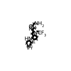 CC(C)N1CC[C@@H](Nc2cccc3c2cc(-c2noc(CN)n2)n3CC(F)(F)F)[C@@H](F)C1